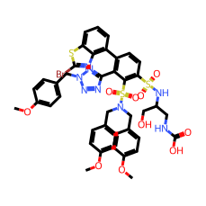 COc1ccc(CN(Cc2ccc(OC)cc2)S(=O)(=O)c2c(S(=O)(=O)NC(CO)CNC(=O)O)ccc(-c3cccc4sc(Br)nc34)c2-c2nnn(Cc3ccc(OC)cc3)n2)cc1